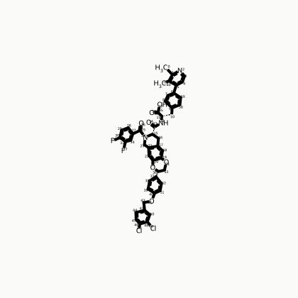 Cc1nccc(-c2ccc(C[C@H](NC(=O)[C@@H]3Cc4cc5c(cc4CN3C(=O)c3ccc(F)c(F)c3)O[C@@H](c3ccc(OCc4ccc(Cl)c(Cl)c4)cc3)CO5)C(=O)O)cc2)c1C